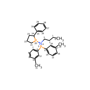 CCCCN(P(c1cccc(C)c1)c1cccc(C)c1)P1CCCC1c1ccccc1